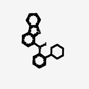 IN(c1ccccc1C1CCCCC1)c1cccc2c1sc1ccccc12